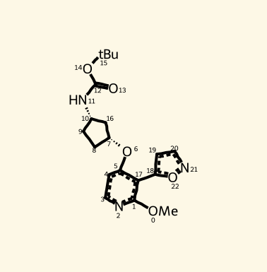 COc1nccc(O[C@@H]2CC[C@H](NC(=O)OC(C)(C)C)C2)c1-c1ccno1